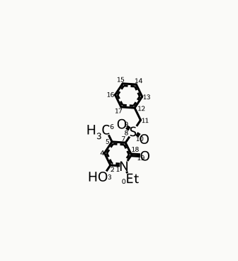 CCn1c(O)cc(C)c(S(=O)(=O)Cc2ccccc2)c1=O